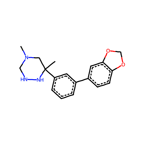 CN1CNNC(C)(c2cccc(-c3ccc4c(c3)OCO4)c2)C1